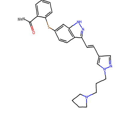 CNC(=O)c1ccccc1Sc1ccc2c(/C=C/c3cnn(CCCN4CCCC4)c3)n[nH]c2c1